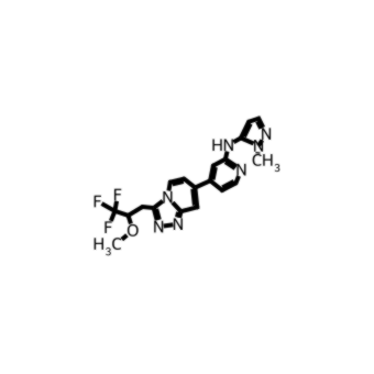 COC(Cc1nnc2cc(-c3ccnc(Nc4ccnn4C)c3)ccn12)C(F)(F)F